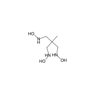 CC(CNO)(CNO)CNO